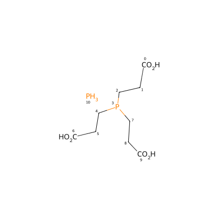 O=C(O)CCP(CCC(=O)O)CCC(=O)O.P